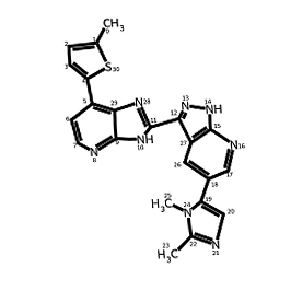 Cc1ccc(-c2ccnc3[nH]c(-c4n[nH]c5ncc(-c6cnc(C)n6C)cc45)nc23)s1